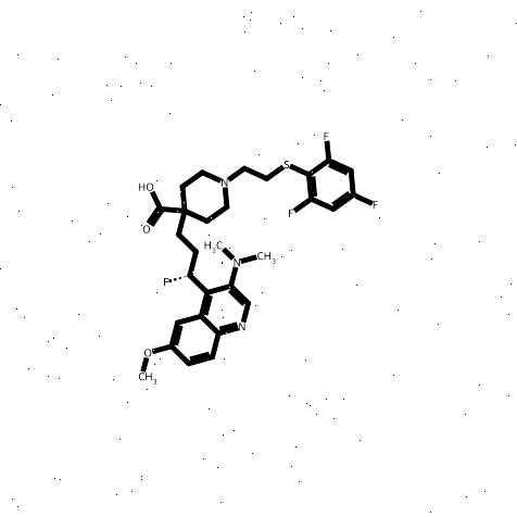 COc1ccc2ncc(N(C)C)c([C@H](F)CCC3(C(=O)O)CCN(CCSc4c(F)cc(F)cc4F)CC3)c2c1